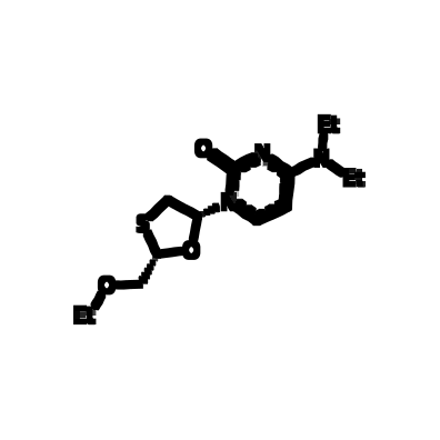 CCOC[C@H]1O[C@@H](n2ccc(N(CC)CC)nc2=O)CS1